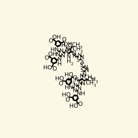 CC(C)(C)c1nn(-c2nc(Nc3cc(C(=O)O)cc(C(=O)O)c3)nc(Nc3cc(C(=O)O)cc(C(=O)O)c3)n2)c(N)c1N=Nc1nnc(SSc2nnc(N=Nc3c(C(C)(C)C)nn(-c4nc(Nc5cc(C(=O)O)cc(C(=O)O)c5)nc(Nc5cc(C(=O)O)cc(C(=O)O)c5)n4)c3N)s2)s1